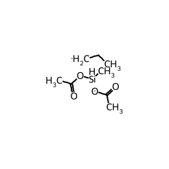 CC(=O)O[SiH](C)OC(C)=O.[CH2]CC